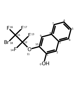 Oc1cc2ccccc2cc1OC(F)(F)C(F)(F)Br